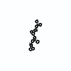 c1ccc(-n2c3ccccc3c3cc(-c4cc5c(cn4)-c4cc(-c6ccc7c(c6)c6ccc(-c8cc9c(cn8)-c8cccc%10cccc-9c8%10)cc6n7-c6ccccc6)cc6cccc-5c46)ccc32)cc1